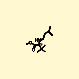 COC(=O)[C@@H](NCCC(C)C)C(C)(C)C